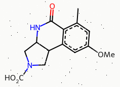 COc1cc(C)c2c(c1)C1CN(C(=O)O)CC1NC2=O